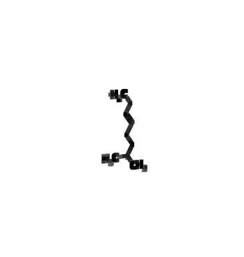 [CH2]CC=CCC[C](C)C